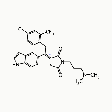 CN(C)CCCN1C(=O)S/C(=C(/Cc2ccc(Cl)cc2C(F)(F)F)c2ccc3[nH]ccc3c2)C1=O